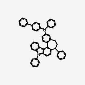 c1ccc(-c2ccc(N(c3ccccc3)c3ccc4c(c3)CCC(c3ccccc3)c3ccc5c(c3-4)c3ccccc3n5-c3ccccc3)cc2)cc1